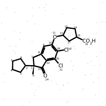 C[C@@]1(C2CCCC2)Cc2cc(OC3CCC(C(=O)O)C3)c(Cl)c(Cl)c2C1=O